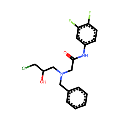 O=C(CN(Cc1ccccc1)CC(O)CCl)Nc1ccc(F)c(F)c1